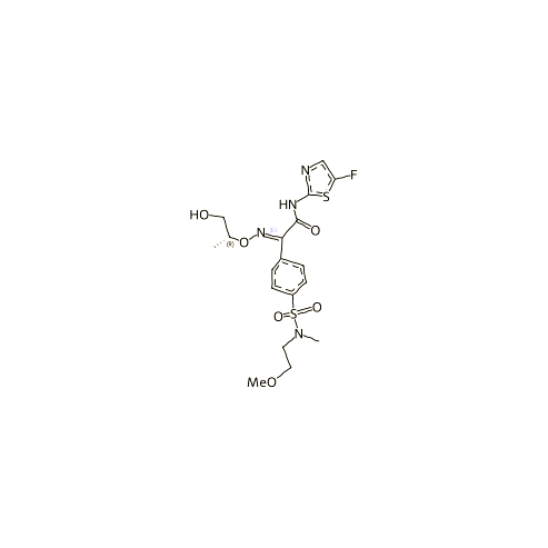 COCCN(C)S(=O)(=O)c1ccc(/C(=N\O[C@H](C)CO)C(=O)Nc2ncc(F)s2)cc1